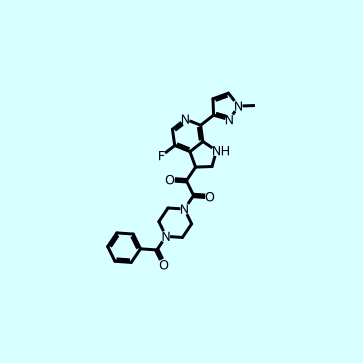 Cn1ccc(-c2ncc(F)c3c2NCC3C(=O)C(=O)N2CCN(C(=O)c3ccccc3)CC2)n1